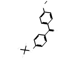 COc1ccc(C(=O)c2ccc(OC(F)(F)F)cc2)cc1